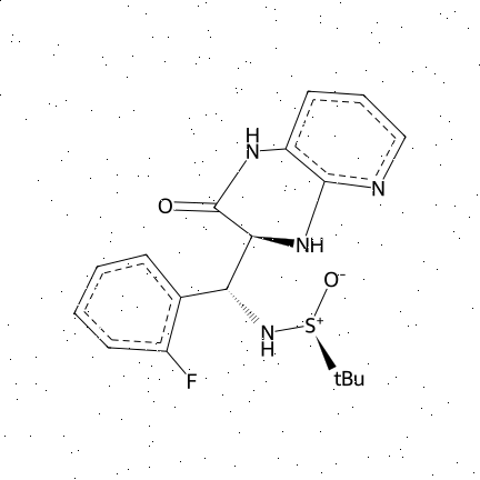 CC(C)(C)[S@+]([O-])N[C@H](c1ccccc1F)[C@@H]1Nc2ncccc2NC1=O